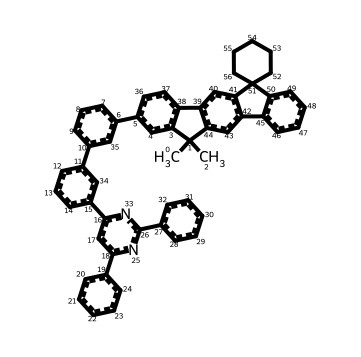 CC1(C)c2cc(-c3cccc(-c4cccc(-c5cc(-c6ccccc6)nc(-c6ccccc6)n5)c4)c3)ccc2-c2cc3c(cc21)-c1ccccc1C31CCCCC1